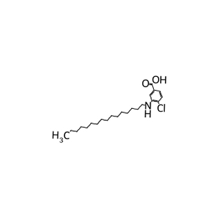 CCCCCCCCCCCCCCCCNc1cc(C(=O)O)ccc1Cl